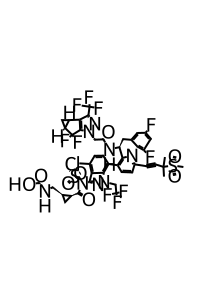 CC(C)(C#Cc1ccc(-c2ccc(Cl)c3c(N(C(=O)[C@H]4C[C@H]4CNC(=O)O)S(C)(=O)=O)nn(CC(F)(F)F)c23)c([C@H](Cc2cc(F)cc(F)c2)NC(=O)Cn2nc(C(F)(F)F)c3c2C(F)(F)[C@@H]2C[C@H]32)n1)S(C)(=O)=O